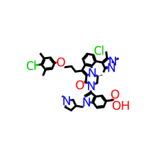 Cc1cc(OCCCc2c3n(c4c(-c5c(C)nn(C)c5C)c(Cl)ccc24)[C@H](C)CN(c2cn(CC4CCN(C)C4)c4ccc(C(=O)O)cc24)C3=O)cc(C)c1Cl